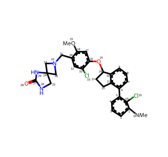 CNc1cccc(-c2cccc3c2CCC3Oc2cc(OC)c(CN3CC4(CNC(=O)N4)C3)cc2Cl)c1Cl